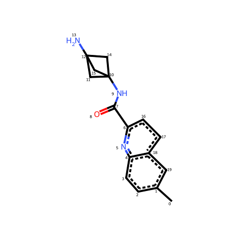 Cc1ccc2nc(C(=O)NC34CC(N)(C3)C4)ccc2c1